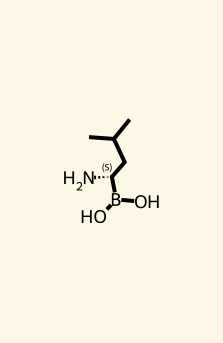 CC(C)C[C@@H](N)B(O)O